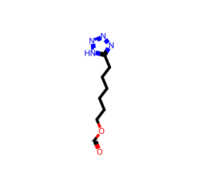 O=[C]OCCCCCCc1nnn[nH]1